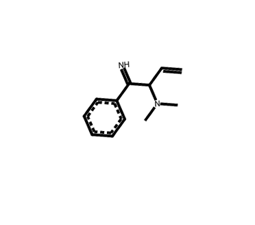 C=CC(C(=N)c1ccccc1)N(C)C